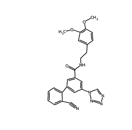 COc1ccc(CCNC(=O)c2cc(-c3ccccc3C#N)cc(-n3cnnn3)c2)cc1OC